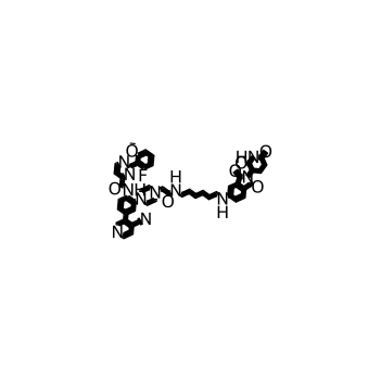 COc1cccc(F)c1-c1nccc(C(=O)Nc2ccc(-c3cnccc3C#N)cc2N2CCN(CC(=O)NCCCCCCNc3ccc4c(c3)C(=O)N(C3CCC(=O)NC3=O)C4=O)CC2)n1